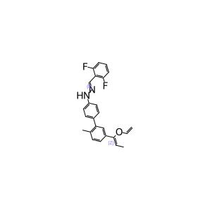 C=CO/C(=C\C)c1ccc(C)c(-c2ccc(N/N=C/c3c(F)cccc3F)cc2)c1